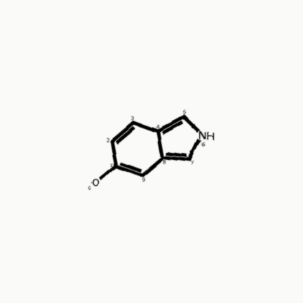 [O]c1ccc2c[nH]cc2c1